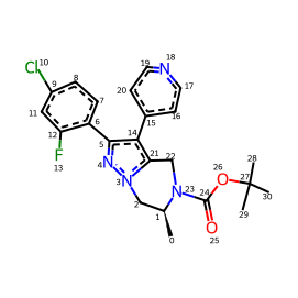 C[C@H]1Cn2nc(-c3ccc(Cl)cc3F)c(-c3ccncc3)c2CN1C(=O)OC(C)(C)C